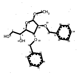 CO[C@@H]1O[C@H]([C@H](O)CO)[C@@H](OCc2ccccc2)[C@@H]1OCc1ccccc1